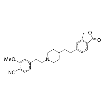 COc1cc(CCN2CCC(CCc3ccc4c(c3)COC4=O)CC2)ccc1C#N